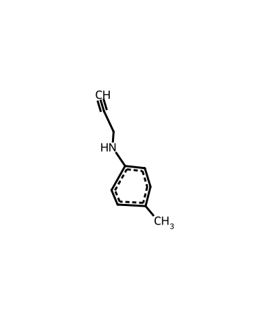 C#CCNc1ccc(C)cc1